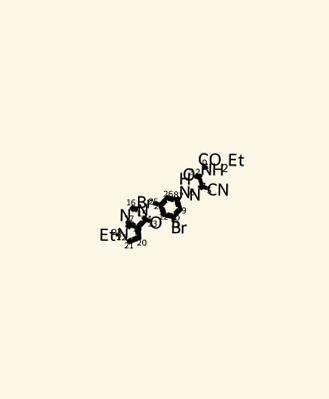 CCOC(=O)NC(=O)C(C#N)=NNc1cc(Br)c(Oc2ncnc3c2ccn3CC)c(Br)c1